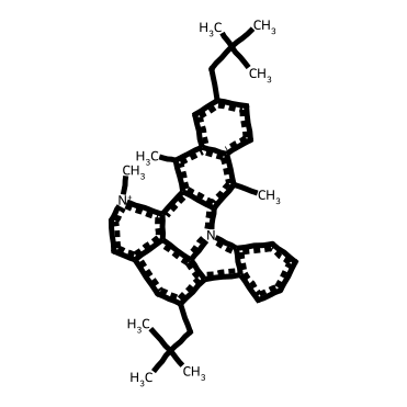 Cc1c2cc(CC(C)(C)C)ccc2c(C)c2c1c1c3c(cc[n+]1C)cc(CC(C)(C)C)c1c4ccccc4n2c13